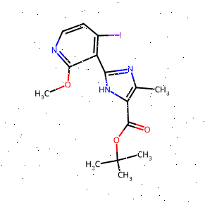 COc1nccc(I)c1-c1nc(C)c(C(=O)OC(C)(C)C)[nH]1